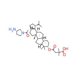 CC(C)[C@@H]1CC[C@]2(CC(=O)N3CC[C@H](N)C3)CC[C@]3(C)[C@H](CC[C@@H]4[C@@]5(C)CC[C@H](OC(=O)CC(C)(C)C(=O)O)C(C)(C)[C@@H]5CC[C@]43C)[C@@H]12